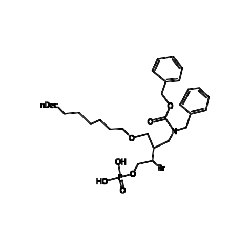 CCCCCCCCCCCCCCCCOCC(CN(Cc1ccccc1)C(=O)OCc1ccccc1)C(Br)COP(=O)(O)O